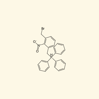 O=[N+]([O-])c1c(CBr)cccc1C[PH](c1ccccc1)(c1ccccc1)c1ccccc1